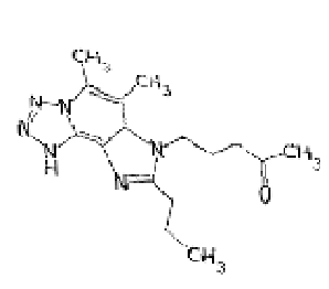 CCCC1=NC2=C3NN=NN3C(C)=C(C)C2N1CCCC(C)=O